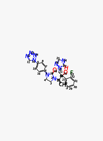 C[C@@H](N1CCN(c2ccc(-n3cnnn3)cc2)C1=O)[C@](O)(Cn1cncn1)c1ccccc1F